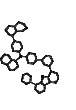 c1ccc(-c2cccc3c2oc2c(-c4cccc(-c5ccc(N(c6ccc(-c7cccc8ccccc78)cc6)c6cccc7ccccc67)cc5)c4)cccc23)cc1